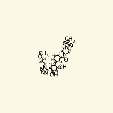 CCS(=O)(=O)N1CCN(C(=O)c2cccc(-c3cc(-c4nnnn4CCCOC)c(O)cc3O)c2)CC1